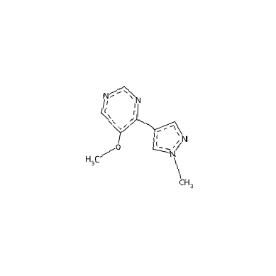 COc1cncnc1-c1cnn(C)c1